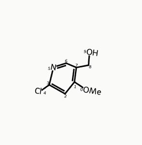 COc1cc(Cl)ncc1CO